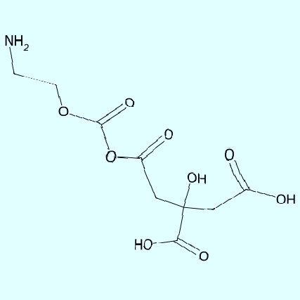 NCCOC(=O)OC(=O)CC(O)(CC(=O)O)C(=O)O